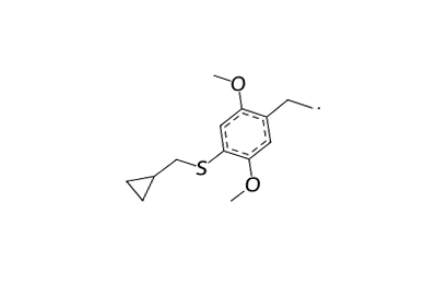 [CH2]Cc1cc(OC)c(SCC2CC2)cc1OC